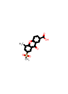 Cc1cc(S(C)(=O)=O)cc2c(=O)c3cc(C(=O)O)ccc3oc12